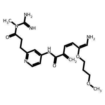 C=C(/C=C\C(=C/N)OCCCOC)C(=O)Nc1ccnc(CCC(=O)N(C)C(=N)N)c1